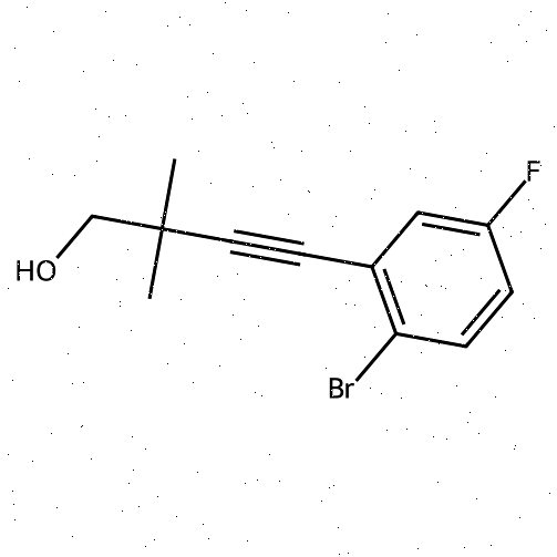 CC(C)(C#Cc1cc(F)ccc1Br)CO